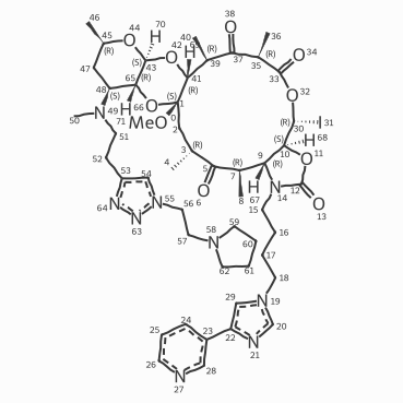 CO[C@]12C[C@@H](C)C(=O)[C@H](C)[C@@H]3[C@H](OC(=O)N3CCCCn3cnc(-c4cccnc4)c3)[C@@H](I)OC(=O)[C@H](C)C(=O)[C@H](C)[C@H]1O[C@@H]1O[C@H](C)C[C@H](N(C)CCc3cn(CCN4CCCC4)nn3)[C@H]1O2